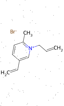 C=CC[n+]1cc(C=C)ccc1C.[Br-]